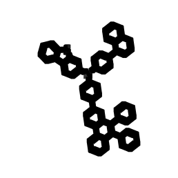 c1ccc(-c2c(-c3ccccc3)c3cc(-c4ccc(N(c5ccc(-c6cccc7ccccc67)cc5)c5ccc6c(c5)sc5ccccc56)cc4)ccc3c3ccccc23)cc1